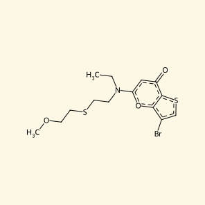 CCN(CCSCCOC)c1cc(=O)c2scc(Br)c2o1